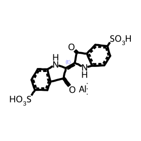 O=C1/C(=C2\Nc3ccc(S(=O)(=O)O)cc3C2=O)Nc2ccc(S(=O)(=O)O)cc21.[Al]